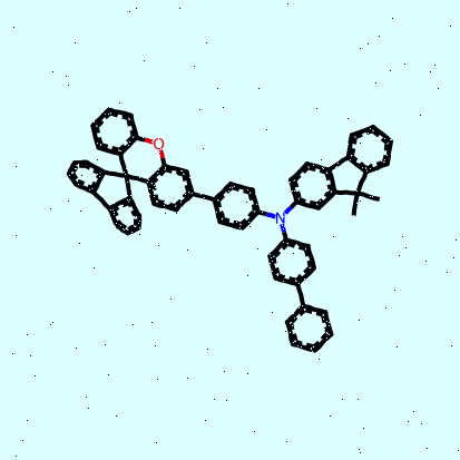 CC1(C)c2ccccc2-c2ccc(N(c3ccc(-c4ccccc4)cc3)c3ccc(-c4ccc5c(c4)Oc4ccccc4C54c5ccccc5-c5ccccc54)cc3)cc21